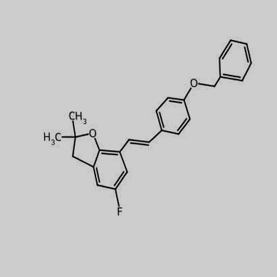 CC1(C)Cc2cc(F)cc(C=Cc3ccc(OCc4ccccc4)cc3)c2O1